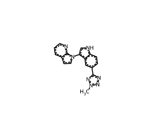 Cn1nnc(-c2ccc3[nH]cc(-n4ccc5cccnc54)c3c2)n1